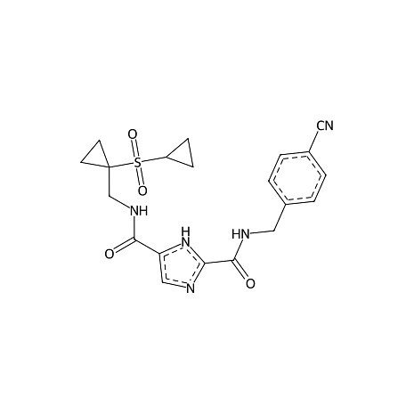 N#Cc1ccc(CNC(=O)c2ncc(C(=O)NCC3(S(=O)(=O)C4CC4)CC3)[nH]2)cc1